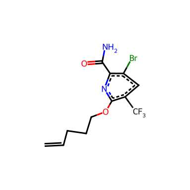 C=CCCCOc1nc(C(N)=O)c(Br)cc1C(F)(F)F